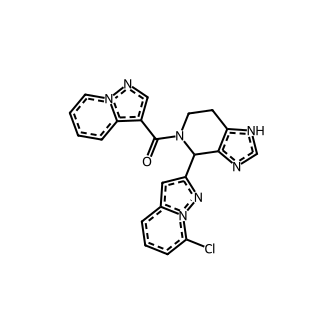 O=C(c1cnn2ccccc12)N1CCc2[nH]cnc2C1c1cc2cccc(Cl)n2n1